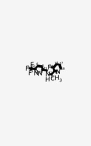 C[C@@H](NCc1ccc(C(F)(F)F)nn1)c1ncccc1F